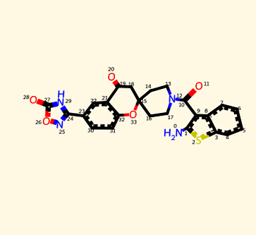 Nc1sc2ccccc2c1C(=O)N1CCC2(CC1)CC(=O)c1cc(-c3noc(=O)[nH]3)ccc1O2